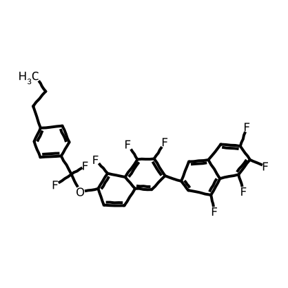 CCCc1ccc(C(F)(F)Oc2ccc3cc(-c4cc(F)c5c(F)c(F)c(F)cc5c4)c(F)c(F)c3c2F)cc1